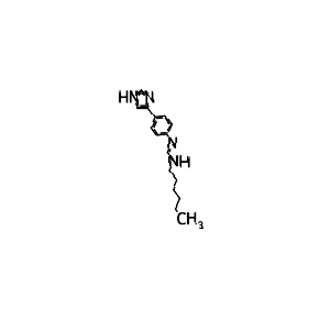 CCCCCCNC=Nc1ccc(-c2c[nH]cn2)cc1